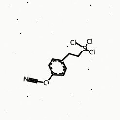 N#COc1ccc(CC[Si](Cl)(Cl)Cl)cc1